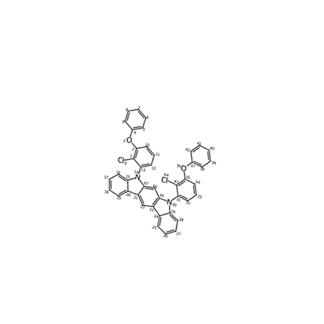 Clc1c(Oc2ccccc2)cccc1-n1c2ccccc2c2cc3c4ccccc4n(-c4cccc(Oc5ccccc5)c4Cl)c3cc21